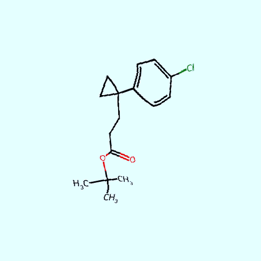 CC(C)(C)OC(=O)CCC1(c2ccc(Cl)cc2)CC1